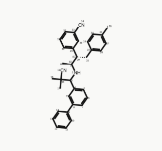 C[C@H](NC(c1cccc(-c2ccccc2)c1)C(C)(C)C#N)[C@@H](Cc1ccc(I)cc1)c1cccc(C#N)c1